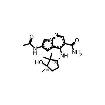 CC(=O)Nc1cc2c(N[C@@H]3CC[C@@](C)(O)C3(C)C)c(C(N)=O)cnn2c1